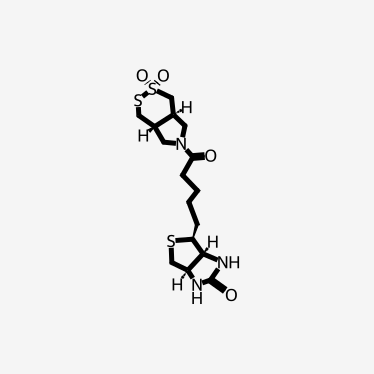 O=C1N[C@H]2[C@H](CS[C@H]2CCCCC(=O)N2C[C@@H]3CS(=O)(=O)SC[C@H]3C2)N1